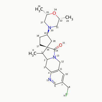 CC1C2Cc3ncc(CF)cc3CN2C(=O)[C@]12CC[C@@H](N1C[C@@H](C)O[C@@H](C)C1)C2